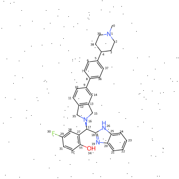 CN1CCC(c2ccc(-c3ccc4c(c3)CN([C@@H](c3nc5ccccc5[nH]3)c3cc(F)ccc3O)C4)cc2)CC1